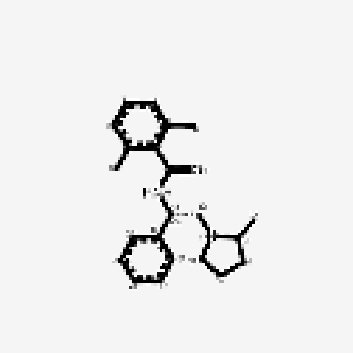 Cc1cccc(C)c1C(=O)N[C@H](CN1CCCC1C)c1ccccc1